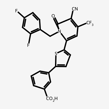 N#Cc1c(C(F)(F)F)cc(-c2ccc(-c3cccc(C(=O)O)c3)s2)n(Cc2ccc(F)cc2F)c1=O